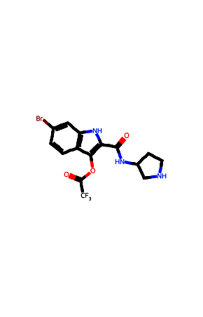 O=C(NC1CCNC1)c1[nH]c2cc(Br)ccc2c1OC(=O)C(F)(F)F